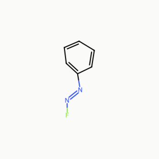 F/N=N/c1ccccc1